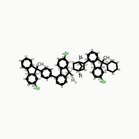 CC1(c2ccc(-c3cccc4c3-c3ccc(Br)cc3C4(C)[C@@H]3C[C@@H]4C[C@H]3CC4c3cccc4c3-c3ccc(Br)cc3C4(C)C3CCCCC3)cc2)c2ccccc2-c2ccc(Br)cc21